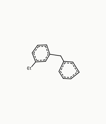 C[CH]c1cccc(Cc2ccccc2)c1